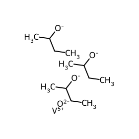 CCC(C)[O-].CCC(C)[O-].CCC(C)[O-].[O-2].[V+5]